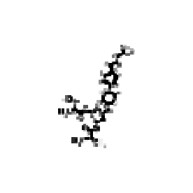 C=C(C)C(=O)OCCC(CCOC(=O)C(=C)CO)CC1CCC(c2ccc(CCCCC)cc2)CC1